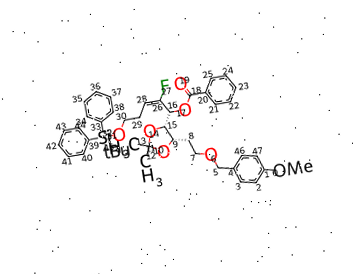 COc1ccc(COCC[C@@H]2OC(C)(C)O[C@@H]2C(OC(=O)c2ccccc2)/C(F)=C\CCO[Si](c2ccccc2)(c2ccccc2)C(C)(C)C)cc1